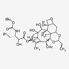 C=CC1OC2CC3OC[C@@]3(O)[C@H]3[C@H](O)C4(O)C[C@H](OC(=O)C(O)[C@H](CC(C)C)NC(=O)OC(C)(C)C)C(C)=C([C@H](OC(C)=O)[C@H](O1)C23C)C4(C)C